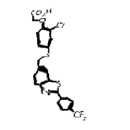 CCc1cc(SCc2ccc3nc(-c4ccc(C(F)(F)F)cc4)sc3c2)ccc1OCC(=O)O